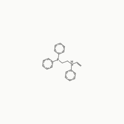 C=C[SiH](CCP(c1ccccc1)c1ccccc1)c1ccccc1